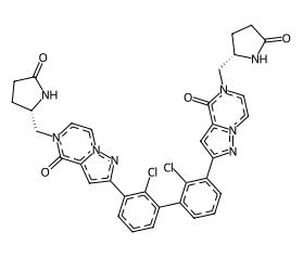 O=C1CC[C@@H](Cn2ccn3nc(-c4cccc(-c5cccc(-c6cc7c(=O)n(C[C@@H]8CCC(=O)N8)ccn7n6)c5Cl)c4Cl)cc3c2=O)N1